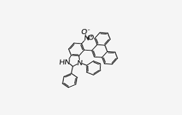 O=[N+]([O-])c1ccc2c(c1-c1cc3ccccc3c3ccccc13)N(c1ccccc1)C(c1ccccc1)N2